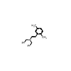 Cc1ccc(C)c(/C=[CH]/[Al]([CH2]C(C)C)[CH2]C(C)C)c1